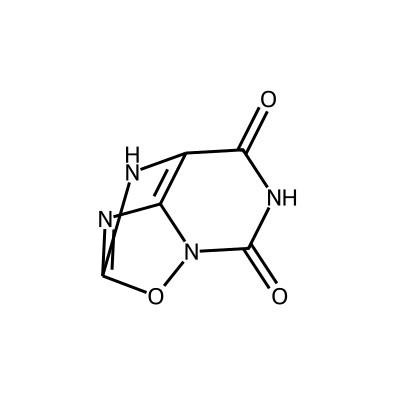 O=c1[nH]c(=O)n2oc3nc2c1[nH]3